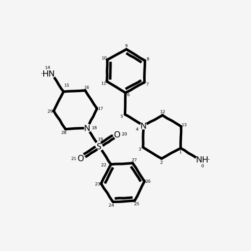 [NH]C1CCN(Cc2ccccc2)CC1.[NH]C1CCN(S(=O)(=O)c2ccccc2)CC1